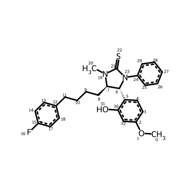 COc1ccc([C@@H]2[C@@H](CCCCc3ccc(F)cc3)N(C)C(=S)N2c2ccccc2)c(O)c1